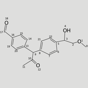 COCC(O)c1ccc(C(C(C)=O)c2ccc([C]=O)cc2)cc1